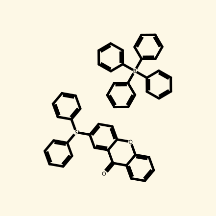 O=c1c2ccccc2oc2ccc([S+](c3ccccc3)c3ccccc3)cc12.c1ccc([B-](c2ccccc2)(c2ccccc2)c2ccccc2)cc1